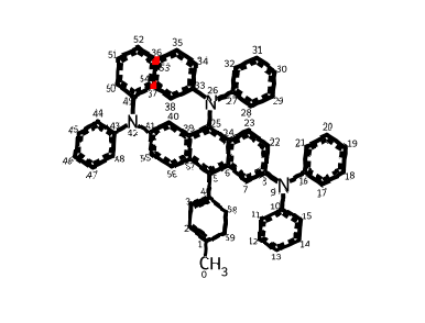 CC1=CC=C(c2c3cc(N(c4ccccc4)c4ccccc4)ccc3c(N(c3ccccc3)c3ccccc3)c3cc(N(c4ccccc4)c4ccccc4)ccc23)CC1